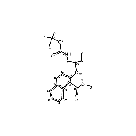 CC[C@H](CNC(=O)OC(C)(C)C)Oc1ccc2ccccc2c1C(=O)OC